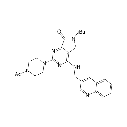 CCC(C)N1Cc2c(NCc3cnc4ccccc4c3)nc(N3CCN(C(C)=O)CC3)nc2C1=O